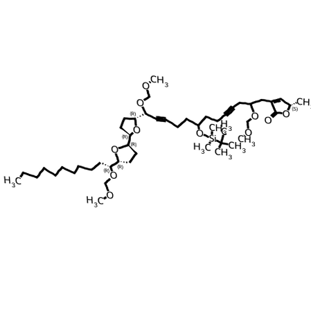 CCCCCCCCCC[C@@H](OCOC)[C@H]1CC[C@H]([C@H]2CC[C@H](C(C#CCCC(CCC#CCC(CC3=C[C@H](C)OC3=O)OCOC)O[Si](C)(C)C(C)(C)C)OCOC)O2)O1